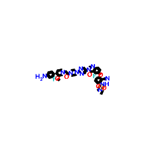 CCN(C)S(=O)(=O)Nc1ccc(F)c(Oc2ccc3ncn(-c4cnc(N5CCN(C(=O)CN6CC[C@@H](c7ccc(N)cc7F)[C@H](OC)C6)CC5)nc4)c(=O)c3c2)c1C#N